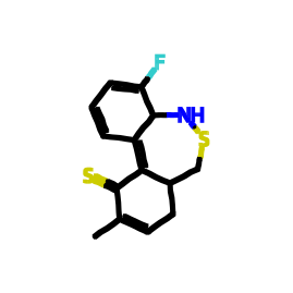 CC1=CCC2CSNC3C(F)=CC=CC3=C2C1=S